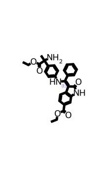 CCOC(=O)c1ccc2c(c1)NC(=O)/C2=C(/Nc1ccc(C(C)(N)C(=O)OCC)cc1)c1ccccc1